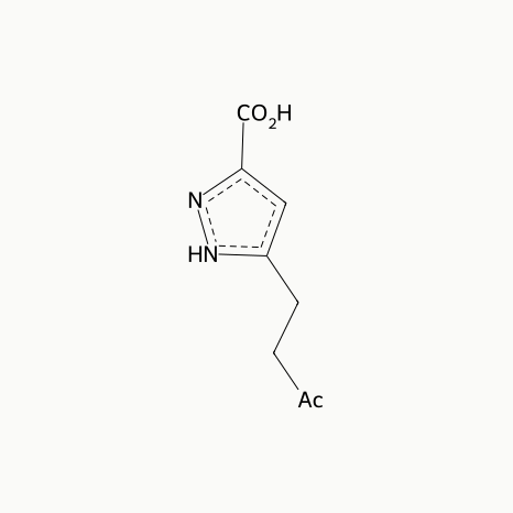 CC(=O)CCc1cc(C(=O)O)n[nH]1